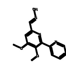 COc1cc(/C=N/O)nc(-c2ccccn2)c1OC